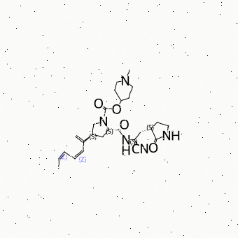 C=C(/C=C\C=C/C)[C@@H]1C[C@@H](C(=O)N[C@H](C#N)C[C@@H]2CCNC2=O)N(C(=O)OC2CCN(C)CC2)C1